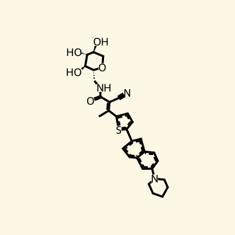 C/C(=C(/C#N)C(=O)NC[C@H]1OC[C@H](O)[C@@H](O)[C@@H]1O)c1ccc(-c2ccc3cc(N4CCCCC4)ccc3c2)s1